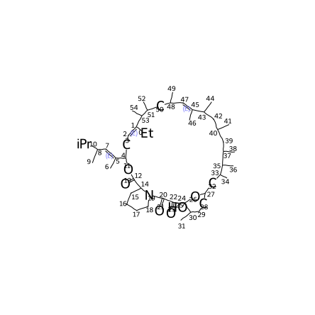 CC/C1=C\CC(/C(C)=C/C(C)C(C)C)OC(=O)C2CCCCN2C(=O)C(=O)C2(O)OC(CCC2C)CC(C)C(C)C(C)CC(C)CC(C)/C(C)=C/C(C)CC(C)C1C